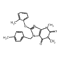 Cc1ccc(Cn2c(Oc3ccccc3C)nc3c2c(=O)n(C)c(=O)n3C)cc1